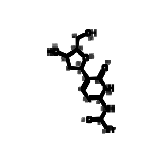 CC(C)C(=O)Nc1ncc([C@H]2CC(O)[C@@H](CO)O2)c(=O)[nH]1